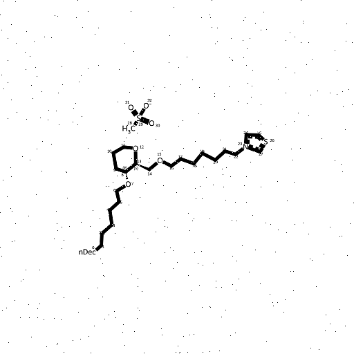 CCCCCCCCCCCCCCCCO[C@@H]1CCCO[C@H]1COCCCCCCC[n+]1ccsc1.CS(=O)(=O)[O-]